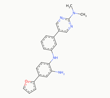 CN(C)c1ncc(-c2cccc(Nc3ccc(-c4ccco4)cc3N)c2)cn1